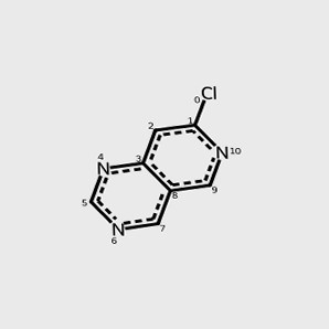 Clc1cc2ncncc2cn1